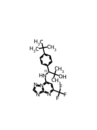 CC(C)(C)c1ccc([C@H](Nc2cc(C(F)(F)F)nc3ncnn23)C(C)(C)O)cc1